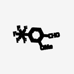 COc1cc(S(F)(F)(F)(F)F)ccc1C=O